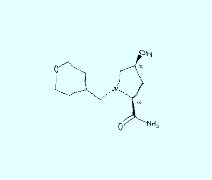 NC(=O)[C@@H]1C[C@H](O)CN1CC1CCOCC1